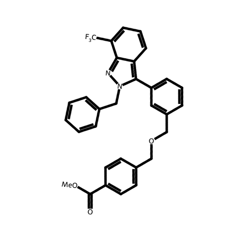 COC(=O)c1ccc(COCc2cccc(-c3c4cccc(C(F)(F)F)c4nn3Cc3ccccc3)c2)cc1